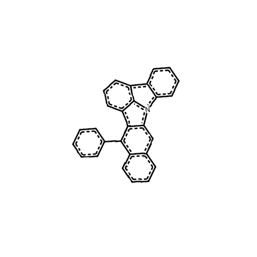 c1ccc(-c2c3ccccc3cc3c2c2cccc4c5ccccc5n3c42)cc1